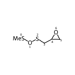 CSOSCC1CO1